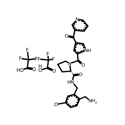 NCc1ccc(Cl)cc1CNC(=O)[C@@H]1CCCN1C(=O)c1cc(C(=O)c2cccnc2)c[nH]1.O=C(O)C(F)(F)F.O=C(O)C(F)(F)F